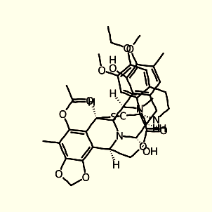 CCOc1cc2c(cc1OC)[C@@]1(CS[C@@H]3c4c(OC(C)=O)c(C)c5c(c4[C@H](COC1=O)N1C3[C@H]3c4c(cc(C)c(OC)c4O)C[C@@H]([C@@H]1O)N3C)OCO5)NCC2